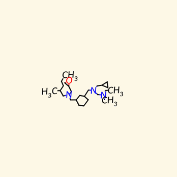 CCCC(C)CN(CC1CCCC(CN(CC2CC2)CN(C)CC)C1)CC1CO1